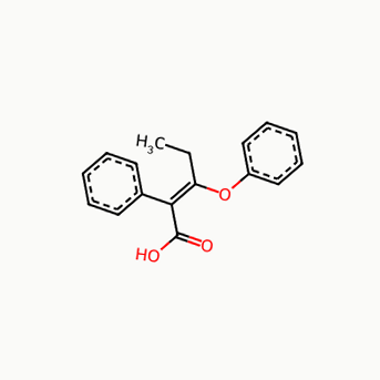 CC/C(Oc1ccccc1)=C(/C(=O)O)c1ccccc1